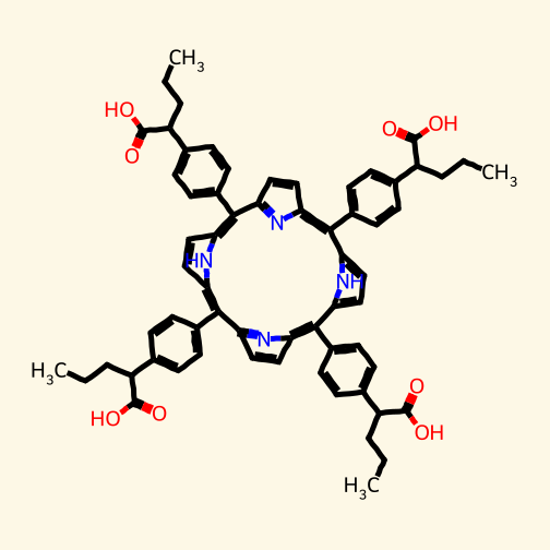 CCCC(C(=O)O)c1ccc(-c2c3nc(c(-c4ccc(C(CCC)C(=O)O)cc4)c4ccc([nH]4)c(-c4ccc(C(CCC)C(=O)O)cc4)c4nc(c(-c5ccc(C(CCC)C(=O)O)cc5)c5ccc2[nH]5)C=C4)C=C3)cc1